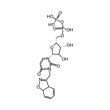 O=c1ccn([C@@H]2O[C@H](COP(=O)(O)OP(=O)(O)O)[C@H](O)C2O)c(=O)n1CC1=NOC2C=CC=CC12